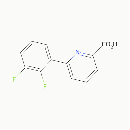 O=C(O)c1cccc(-c2cccc(F)c2F)n1